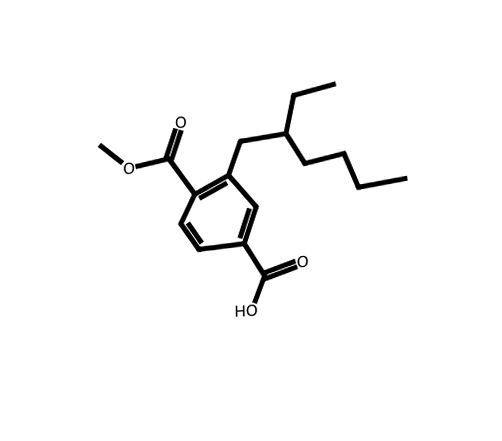 CCCCC(CC)Cc1cc(C(=O)O)ccc1C(=O)OC